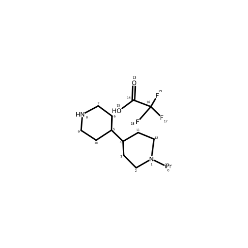 CC(C)N1CCC(C2CCNCC2)CC1.O=C(O)C(F)(F)F